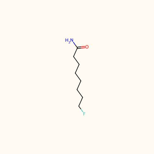 NC(=O)CCCCCCCF